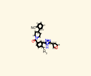 Cc1ccc(C(=O)N2CCC(c3ccccc3C#N)CC2)cc1-c1nnc(C2CCOC2)[nH]1